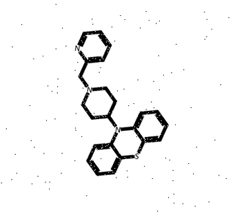 c1ccc(CN2CCC(N3c4ccccc4Sc4ccccc43)CC2)nc1